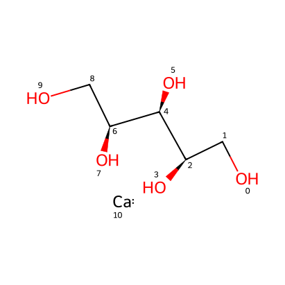 OC[C@@H](O)[C@H](O)[C@@H](O)CO.[Ca]